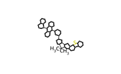 CC1(C)c2ccc(-c3cccc(-c4c5ccccc5c(-c5cccc6ccccc56)c5ccccc45)c3)cc2-c2cc3c(ccc4c5ccccc5sc34)cc21